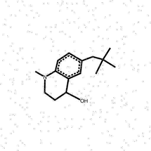 CN1CCC(O)c2cc(CC(C)(C)C)ccc21